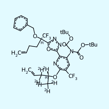 [2H]C([2H])([2H])[C@@]([2H])(Oc1nc(-c2nnc([C@@](CCC=C)(OCc3ccccc3)C(F)(F)F)o2)c(N(C(=O)OC(C)(C)C)C(=O)OC(C)(C)C)cc1C(F)(F)F)C([2H])([2H])C=C